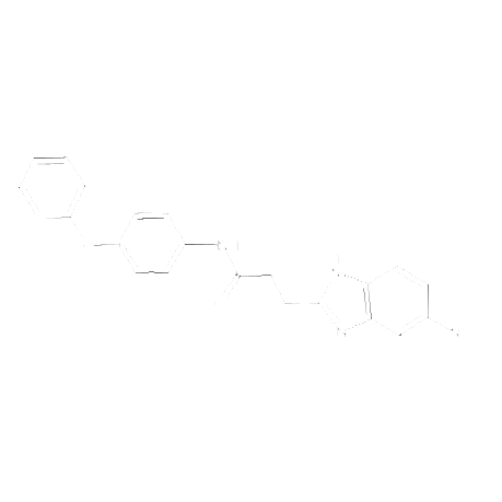 O=C(CCc1nc2cc([N+](=O)[O-])ccc2[nH]1)Nc1ccc(Oc2ccccc2)cc1